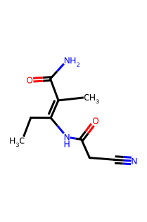 CCC(NC(=O)CC#N)=C(C)C(N)=O